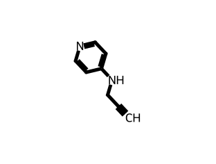 C#CCNc1ccncc1